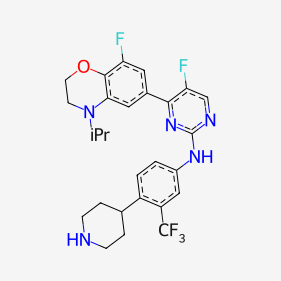 CC(C)N1CCOc2c(F)cc(-c3nc(Nc4ccc(C5CCNCC5)c(C(F)(F)F)c4)ncc3F)cc21